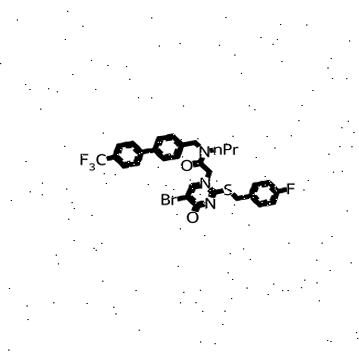 CCCN(Cc1ccc(-c2ccc(C(F)(F)F)cc2)cc1)C(=O)Cn1cc(Br)c(=O)nc1SCc1ccc(F)cc1